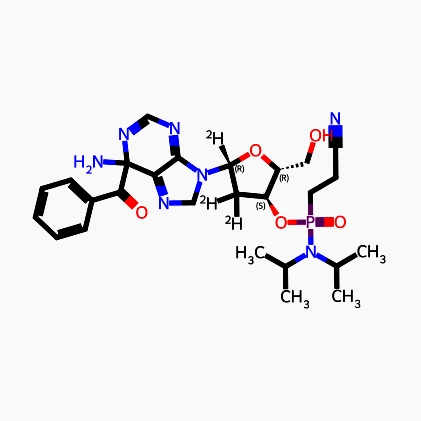 [2H]C1([2H])[C@H](OP(=O)(CCC#N)N(C(C)C)C(C)C)[C@@H](CO)O[C@@]1([2H])N1CN=C2C1=NC=NC2(N)C(=O)c1ccccc1